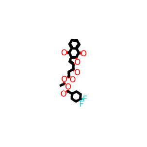 CC(OC(=O)CC(=O)c1cc2c(o1)C(=O)c1ccccc1C2=O)OC(=O)C1CCC(F)(F)CC1